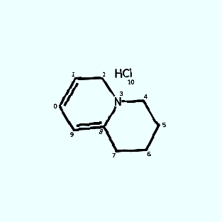 C1=CCN2CCCCC2=C1.Cl